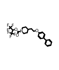 O=C(OC(C(F)(F)F)C(F)(F)F)N1CCC(CCOc2ccc(-c3ccccc3)cc2)CC1